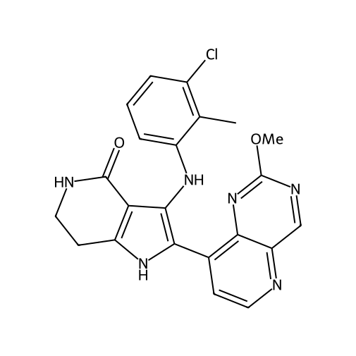 COc1ncc2nccc(-c3[nH]c4c(c3Nc3cccc(Cl)c3C)C(=O)NCC4)c2n1